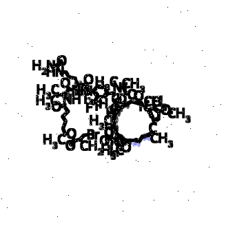 C=C(CBr)C(=O)OC(C)CCCCC(=O)N[C@H](C(=O)N[C@@H](CCCNC(N)=O)C(=O)Nc1ccc(C(=O)N(C)[C@@H](C)C(=O)O[C@H]2CC(=O)N(C)c3cc(cc(OC)c3Cl)C/C(C)=C/C=C/[C@@H](OC)[C@@]3(O)C[C@H](OC(=O)N3)[C@@H](C)[C@@H]3O[C@@]23C)cc1C(F)(F)F)C(C)C